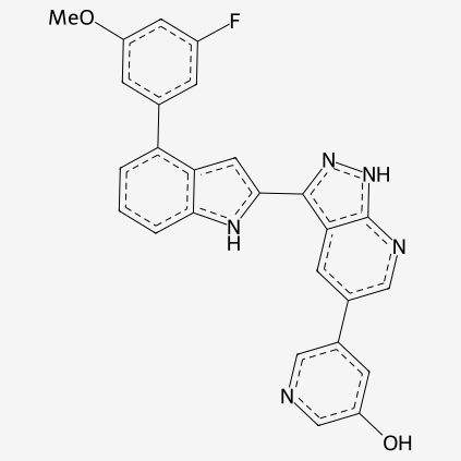 COc1cc(F)cc(-c2cccc3[nH]c(-c4n[nH]c5ncc(-c6cncc(O)c6)cc45)cc23)c1